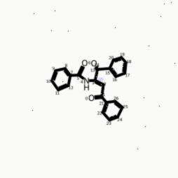 O=C(/C=C(\NC(=O)c1ccccc1)C(=O)c1ccccc1)c1ccccc1